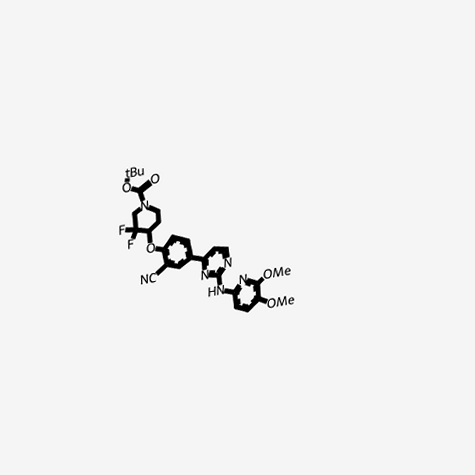 COc1ccc(Nc2nccc(-c3ccc(OC4CCN(C(=O)OC(C)(C)C)CC4(F)F)c(C#N)c3)n2)nc1OC